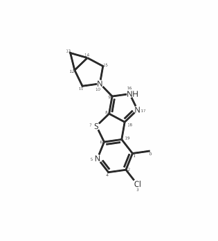 Cc1c(Cl)cnc2sc3c(N4CC5CC5C4)[nH]nc3c12